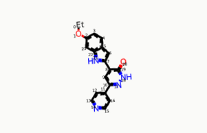 CCOc1ccc2cc(-c3cc(-c4ccncc4)n[nH]c3=O)[nH]c2c1